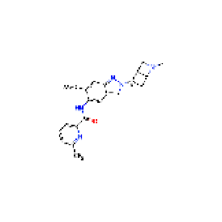 COc1cc2nn([C@H]3CC4C3CN4C)cc2cc1NC(=O)c1cccc(C(F)(F)F)n1